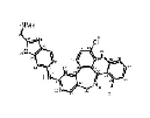 CNCc1nc2ccc(Nc3ncc4c(n3)-c3ccc(Cl)cc3C(c3c(F)cccc3F)=NC4)cc2o1